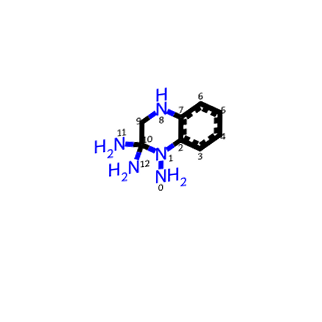 NN1c2ccccc2NCC1(N)N